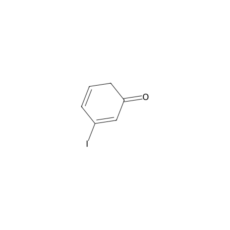 O=C1C=C(I)C=CC1